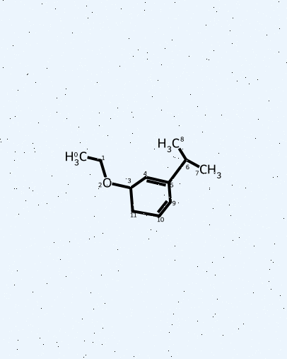 CCOC1C=C(C(C)C)C=CC1